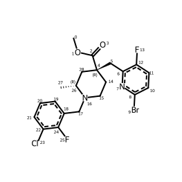 COC(=O)[C@]1(Cc2nc(Br)ccc2F)CCN(Cc2cccc(Cl)c2F)[C@H](C)C1